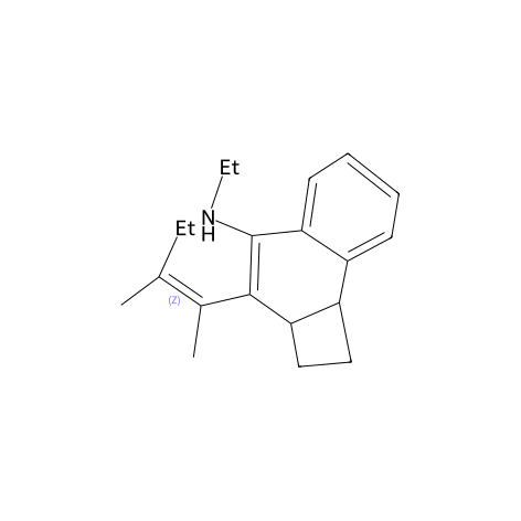 CCNC1=C(/C(C)=C(/C)CC)C2CCC2c2ccccc21